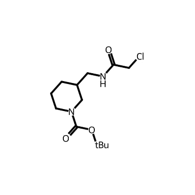 CC(C)(C)OC(=O)N1CCCC(CNC(=O)CCl)C1